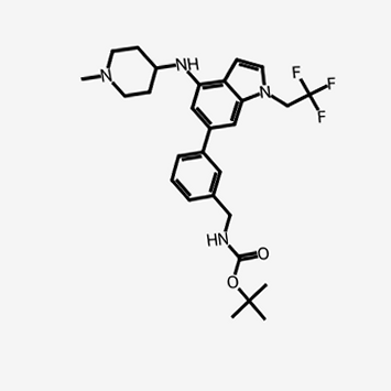 CN1CCC(Nc2cc(-c3cccc(CNC(=O)OC(C)(C)C)c3)cc3c2ccn3CC(F)(F)F)CC1